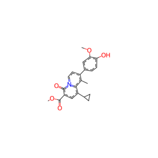 COC(=O)c1cc(C2CC2)c2c(C)c(-c3ccc(O)c(OC)c3)ccn2c1=O